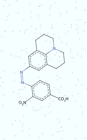 O=C(O)c1ccc(/N=N\c2cc3c4c(c2)CCCN4CCC3)c([N+](=O)[O-])c1